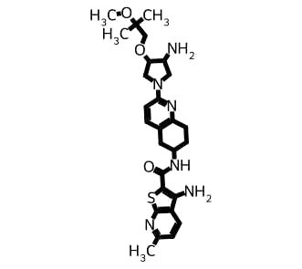 COC(C)(C)COC1CN(c2ccc3c(n2)CCC(NC(=O)c2sc4nc(C)ccc4c2N)C3)CC1N